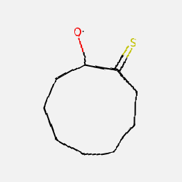 [O]C1CCCCCCCC1=S